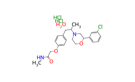 CNC(=O)COc1ccc(CC(C)N2CCOC(c3cccc(Cl)c3)C2)cc1.Cl.Cl.O